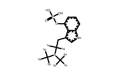 [2H]C([2H])([2H])N(C([2H])([2H])[2H])C([2H])([2H])Cc1c[nH]c2cccc(OP(=O)(O)O)c12